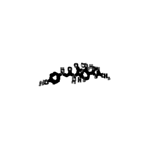 Cc1nnc(C2=C(C(=O)O)N3C(=O)C(NC(=O)CNc4ccc(O)cc4)[C@H]3SC2)s1